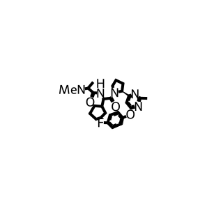 CNC(C)C(=O)NC(C(=O)N1CCC[C@H]1c1cc(Oc2ccc(F)cc2)nc(C)n1)C1CCCCC1